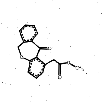 COC(=O)Cc1cccc2c1C(=O)c1ccccc1CO2